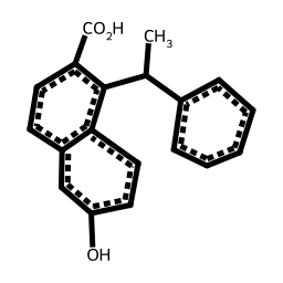 CC(c1ccccc1)c1c(C(=O)O)ccc2cc(O)ccc12